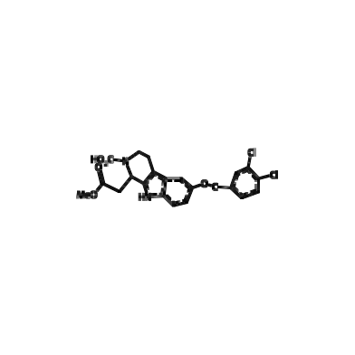 COC(=O)CC1c2[nH]c3ccc(OCc4ccc(Cl)c(Cl)c4)cc3c2CCN1C(=O)O